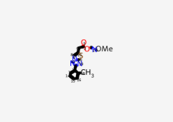 CON=COC(=O)Cc1cn2nc(-c3ccccc3C)nc2s1